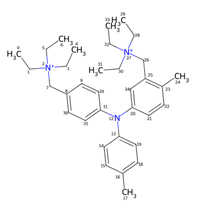 CC[N+](CC)(CC)Cc1ccc(N(c2ccc(C)cc2)c2ccc(C)c(C[N+](CC)(CC)CC)c2)cc1